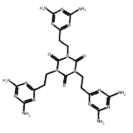 Nc1nc(N)nc(CCn2c(=O)n(CCc3nc(N)nc(N)n3)c(=O)n(CCc3nc(N)nc(N)n3)c2=O)n1